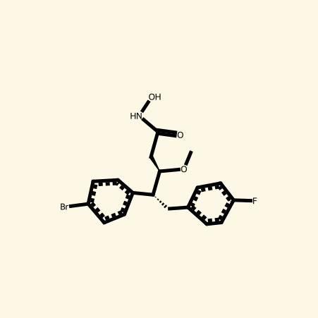 CO[C@H](CC(=O)NO)[C@H](Cc1ccc(F)cc1)c1ccc(Br)cc1